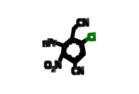 CCCc1c(CC#N)c(Cl)cc(C#N)c1[N+](=O)[O-]